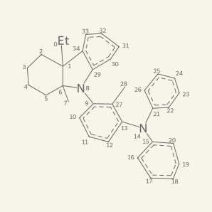 CCC12CCCCC1(C)N(c1cccc(N(c3ccccc3)c3ccccc3)c1C)c1ccccc12